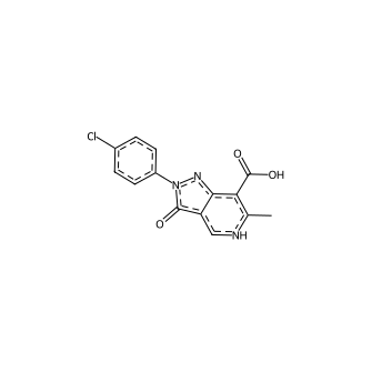 Cc1[nH]cc2c(=O)n(-c3ccc(Cl)cc3)nc-2c1C(=O)O